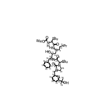 COC(=O)NC(C(=O)NN(CCC(C)C)CC(O)C(Cc1ccccc1)NC(=O)C(N1CCN(Cc2cccc(C(C)(C)O)n2)C1=O)C(C)(C)C)C(C)(C)C